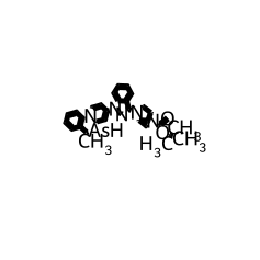 CC([AsH]c1cc(-n2nc(N3CC4CC3CN4C(=O)OC(C)(C)C)c3ccccc32)ccn1)c1ccccc1